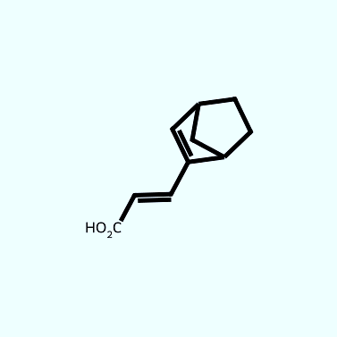 O=C(O)C=CC1=CC2CCC1C2